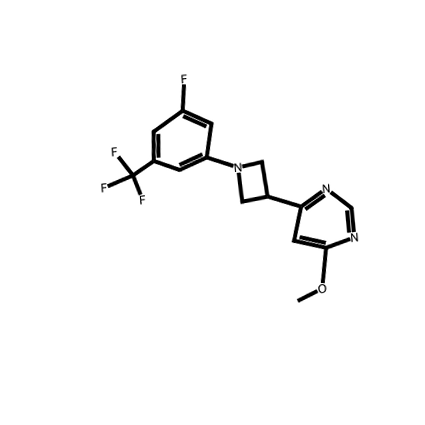 COc1cc(C2CN(c3cc(F)cc(C(F)(F)F)c3)C2)ncn1